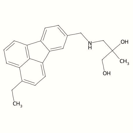 CCc1ccc2c3c(cccc13)-c1ccc(CNCC(C)(O)CO)cc1-2